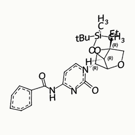 CC[C@]12COC([C@H](n3ccc(NC(=O)c4ccccc4)nc3=O)O1)[C@H]2O[Si](C)(C)C(C)(C)C